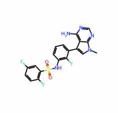 Cn1cc(-c2cccc(NS(=O)(=O)c3cc(F)ccc3F)c2F)c2c(N)ncnc21